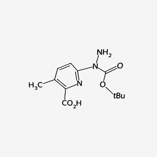 Cc1ccc(N(N)C(=O)OC(C)(C)C)nc1C(=O)O